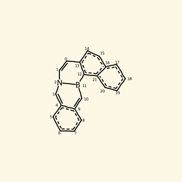 C1=CN2C=c3ccccc3=CB2c2c1ccc1ccccc21